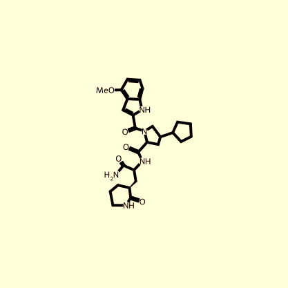 COc1cccc2[nH]c(C(=O)N3CC(C4CCCC4)CC3C(=O)NC(C[C@@H]3CCCNC3=O)C(N)=O)cc12